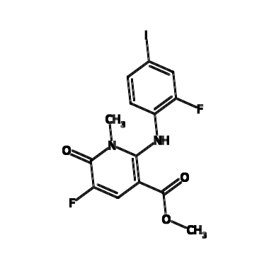 COC(=O)c1cc(F)c(=O)n(C)c1Nc1ccc(I)cc1F